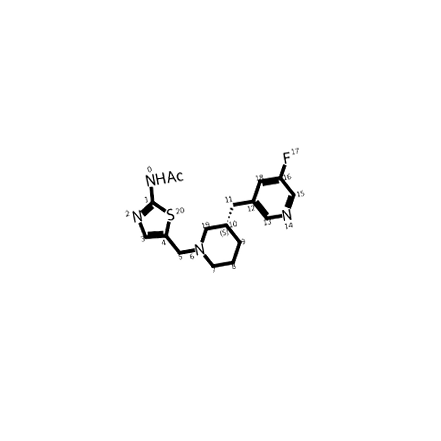 CC(=O)Nc1ncc(CN2CCC[C@@H](Cc3cncc(F)c3)C2)s1